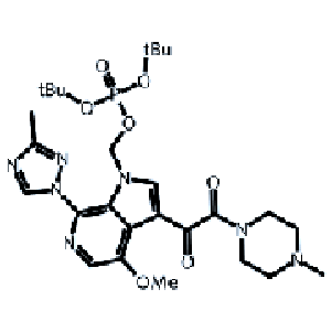 COc1cnc(-n2cnc(C)n2)c2c1c(C(=O)C(=O)N1CCN(C)CC1)cn2COP(=O)(OC(C)(C)C)OC(C)(C)C